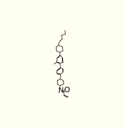 C=CC(=O)N(C)C1CCC(c2ccc(-c3ccc(C4CCC(CCCCC)CC4)cc3C)cc2)CC1